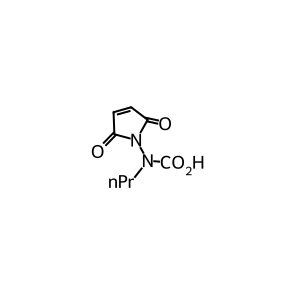 CCCN(C(=O)O)N1C(=O)C=CC1=O